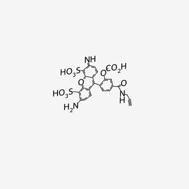 C#CCNC(=O)c1ccc(-c2c3ccc(=N)c(S(=O)(=O)O)c-3oc3c(S(=O)(=O)O)c(N)ccc23)c(OC(=O)O)c1